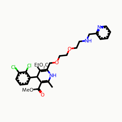 CCOC(=O)C1=C(COCCOCCNCc2ccccn2)NC(C)=C(C(=O)OC)C1c1cccc(Cl)c1Cl